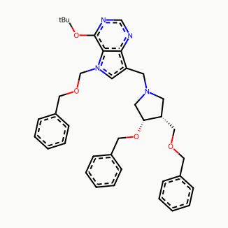 CC(C)(C)Oc1ncnc2c(CN3C[C@H](COCc4ccccc4)[C@H](OCc4ccccc4)C3)cn(COCc3ccccc3)c12